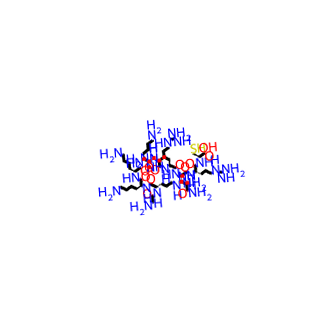 N=C(N)NCCC[C@H](NC(=O)CN)C(=O)N[C@@H](CCCCN)C(=O)N[C@@H](CCCCN)C(=O)N[C@@H](CCCCN)C(=O)N[C@@H](CCCNC(=N)N)C(=O)N[C@@H](CCCNC(=N)N)C(=O)N[C@@H](CCC(N)=O)C(=O)N[C@@H](CCCNC(=N)N)C(=O)N[C@@H](CS)C(=O)O